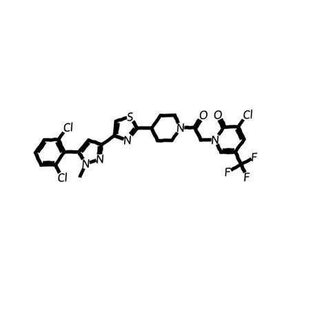 Cn1nc(-c2csc(C3CCN(C(=O)Cn4cc(C(F)(F)F)cc(Cl)c4=O)CC3)n2)cc1-c1c(Cl)cccc1Cl